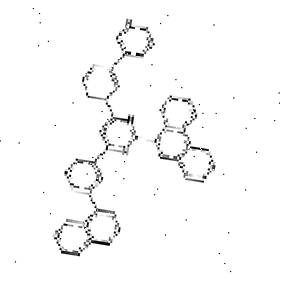 C1=CC(c2cccnc2)=CC(c2cc(-c3cccc(-c4cccc5ccccc45)c3)nc(-c3cc4ccccc4c4ccccc34)n2)C1